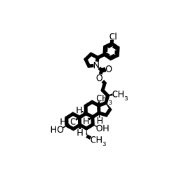 CC[C@H]1[C@@H](O)[C@@H]2[C@H](CC[C@]3(C)[C@@H]([C@H](C)CCOC(=O)N4CCCC4c4cccc(Cl)c4)CC[C@@H]23)[C@@]2(C)CC[C@@H](O)C[C@@H]12